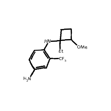 CCC1(Nc2ccc(N)cc2C(F)(F)F)CCC1OC